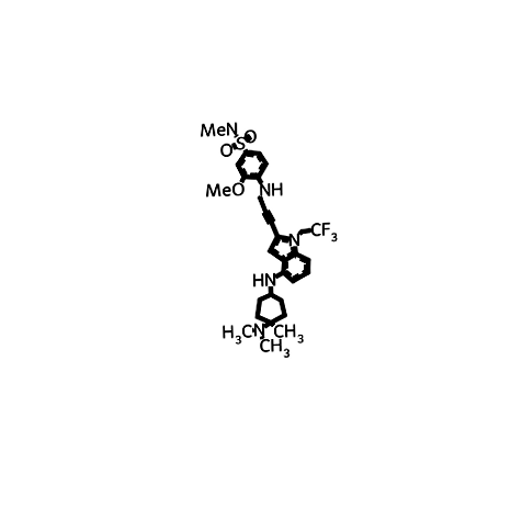 CNS(=O)(=O)c1ccc(NCC#Cc2cc3c(NC4CCC(C)(N(C)C)CC4)cccc3n2CC(F)(F)F)c(OC)c1